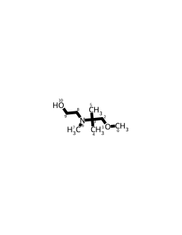 COCC(C)(C)N(C)CCO